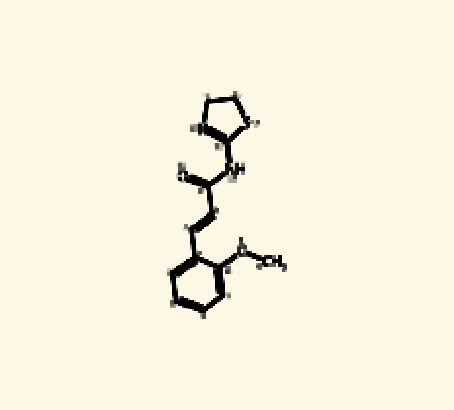 COc1ccccc1/C=C/C(=O)NC1=NCCS1